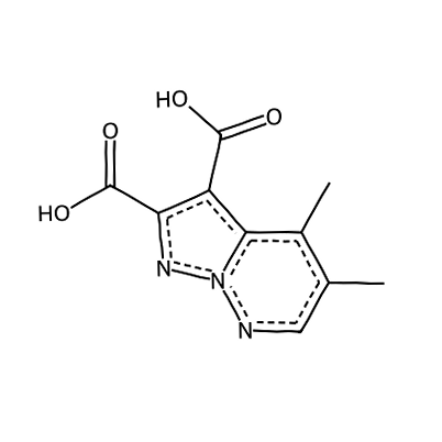 Cc1cnn2nc(C(=O)O)c(C(=O)O)c2c1C